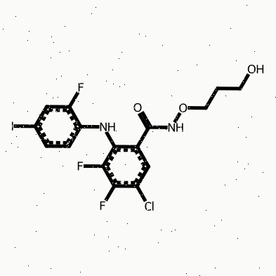 O=C(NOCCCO)c1cc(Cl)c(F)c(F)c1Nc1ccc(I)cc1F